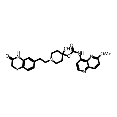 COc1ccc2nccc(NC(=O)OC3(C)CCN(CCc4ccc5c(c4)NC(=O)CS5)CC3)c2n1